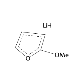 COc1ccco1.[LiH]